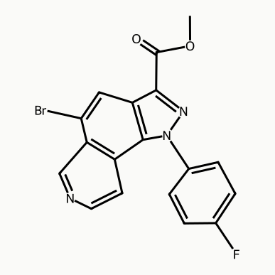 COC(=O)c1nn(-c2ccc(F)cc2)c2c1cc(Br)c1cnccc12